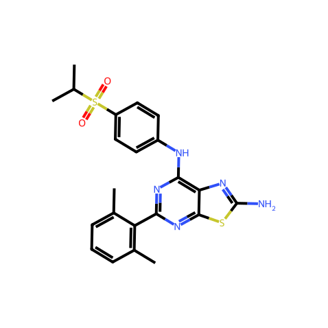 Cc1cccc(C)c1-c1nc(Nc2ccc(S(=O)(=O)C(C)C)cc2)c2nc(N)sc2n1